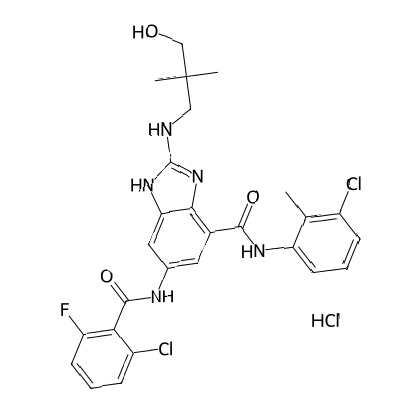 Cc1c(Cl)cccc1NC(=O)c1cc(NC(=O)c2c(F)cccc2Cl)cc2[nH]c(NCC(C)(C)CO)nc12.Cl